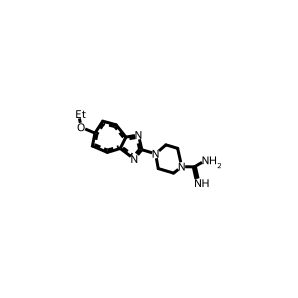 CCOc1ccc2nc(N3CCN(C(=N)N)CC3)nc-2cc1